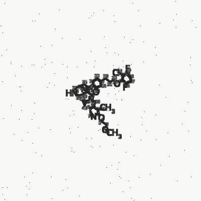 COCCOc1nccc(CN(C(=O)C2=C(c3ccc(CCCOc4c(F)ccc(F)c4Cl)cc3)CC3CNCC2N3)C2CC2)c1C